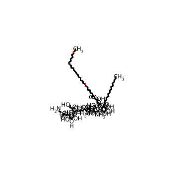 CCCCCCCC/C=C\CCCCCCCCCCCCCCCCCCCC(=O)OC[C@@H](O)COP(=O)(O)OC1C(OC(=O)CCCCCCCCCCCCCCC)[C@H](O)C(O)C(O)[C@H]1O[C@H]1OC(CO)[C@@H](O[C@@H](OC)C(O)C(O)[C@H](O)CCO[C@@H](O)C(O[C@H]2OC(COP(=O)(O)OCCN)[C@H](O)[C@H](O)C2O)C(O)[C@H](O)CCO)[C@H](O)C1N